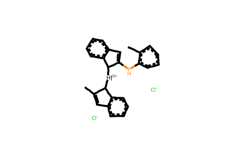 CC1=Cc2ccccc2[CH]1[Hf+2][CH]1C(Pc2ccccc2C)=Cc2ccccc21.[Cl-].[Cl-]